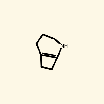 C1CNC2=C(C1)CC2